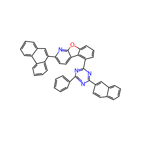 c1ccc(-c2nc(-c3ccc4ccccc4c3)nc(-c3cccc4oc5nc(-c6cc7ccccc7c7ccccc67)ccc5c34)n2)cc1